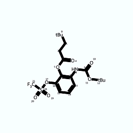 CC(C)(C)CCC(=O)Oc1c(NC(=O)OC(C)(C)C)cccc1OS(=O)(=O)C(F)(F)F